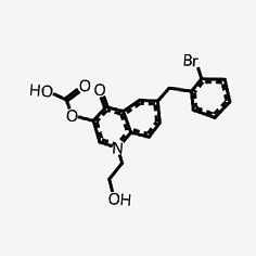 O=C(O)Oc1cn(CCO)c2ccc(Cc3ccccc3Br)cc2c1=O